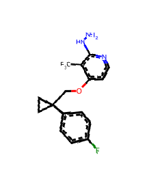 NNc1nccc(OCC2(c3ccc(F)cc3)CC2)c1C(F)(F)F